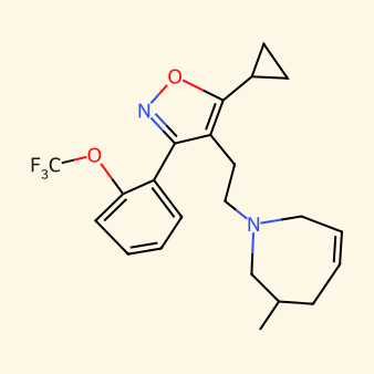 CC1CC=CCN(CCc2c(-c3ccccc3OC(F)(F)F)noc2C2CC2)C1